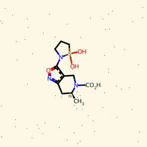 C[C@H]1Cc2noc(N3CCCS3(O)O)c2CN1C(=O)O